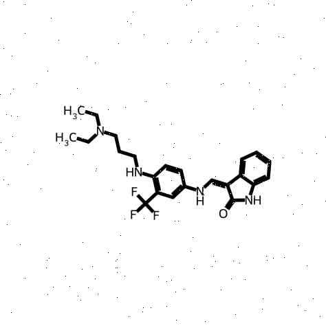 CCN(CC)CCCNc1ccc(NC=C2C(=O)Nc3ccccc32)cc1C(F)(F)F